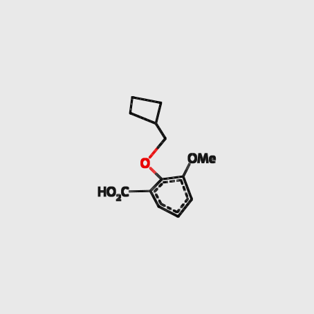 COc1cccc(C(=O)O)c1OCC1CCC1